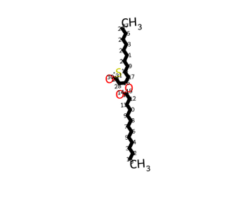 CCCCCCCCCCCCCC(=O)OC(CCCCCCCCCCC)CC(=O)[S]